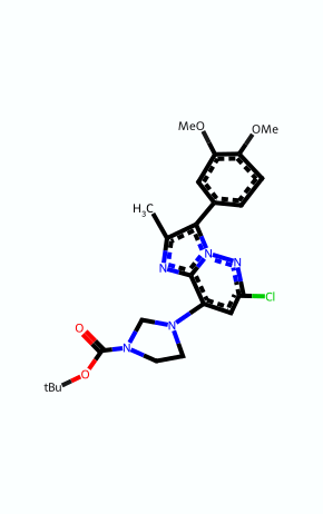 COc1ccc(-c2c(C)nc3c(N4CCN(C(=O)OC(C)(C)C)C4)cc(Cl)nn23)cc1OC